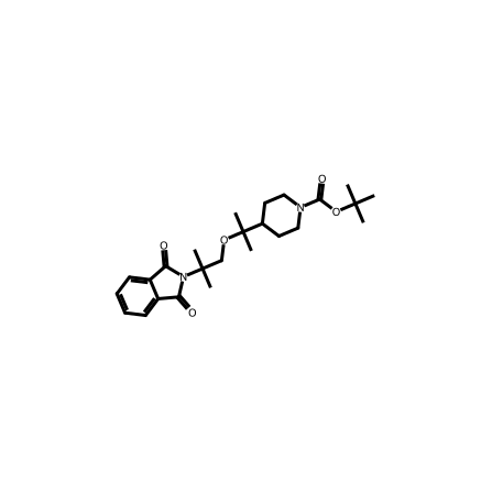 CC(C)(C)OC(=O)N1CCC(C(C)(C)OCC(C)(C)N2C(=O)c3ccccc3C2=O)CC1